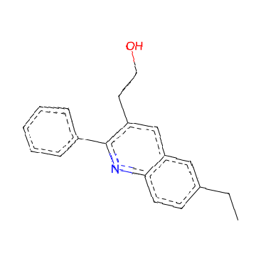 CCc1ccc2nc(-c3ccccc3)c(CCO)cc2c1